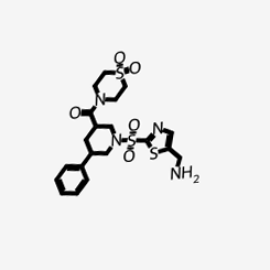 NCc1cnc(S(=O)(=O)N2CC(C(=O)N3CCS(=O)(=O)CC3)CC(c3ccccc3)C2)s1